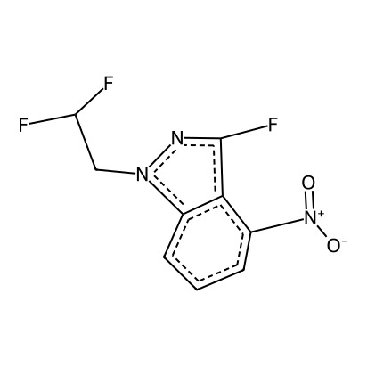 O=[N+]([O-])c1cccc2c1c(F)nn2CC(F)F